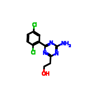 Nc1nc(CCO)nc(-c2cc(Cl)ccc2Cl)n1